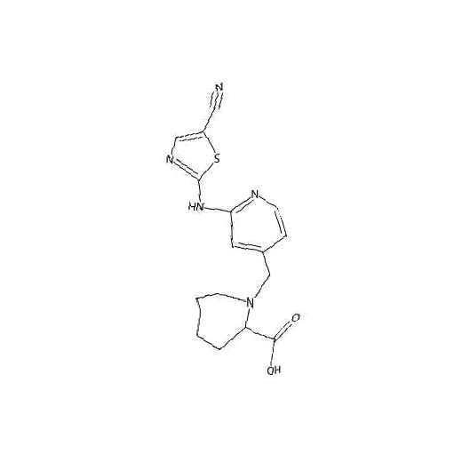 N#Cc1cnc(Nc2cc(CN3CCCCC3C(=O)O)ccn2)s1